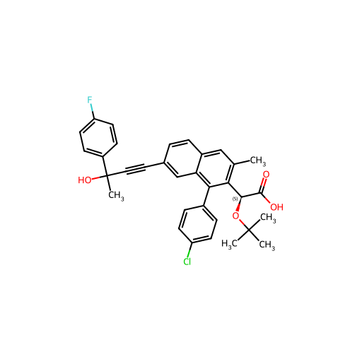 Cc1cc2ccc(C#CC(C)(O)c3ccc(F)cc3)cc2c(-c2ccc(Cl)cc2)c1[C@H](OC(C)(C)C)C(=O)O